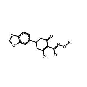 CCON=C(CC)C1=C(O)CC(c2ccc3c(c2)OCO3)CC1=O